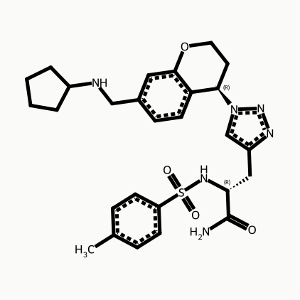 Cc1ccc(S(=O)(=O)N[C@H](Cc2cn([C@@H]3CCOc4cc(CNC5CCCC5)ccc43)nn2)C(N)=O)cc1